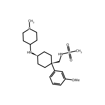 COc1cccc([C@]2(CNS(C)(=O)=O)CC[C@@H](NC3CCN(C)CC3)CC2)c1